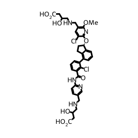 COc1nc(O[C@H]2CCc3c(-c4cccc(C(=O)Nc5ccc(CNCC(O)CC(=O)O)cn5)c4Cl)cccc32)c(Cl)cc1CNCC(O)CC(=O)O